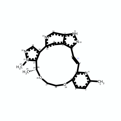 Cc1ccc2c(n1)/C=C/c1n[nH]c3cnc(cc13)-c1cnn(C)c1[C@@H](C)OCCO2